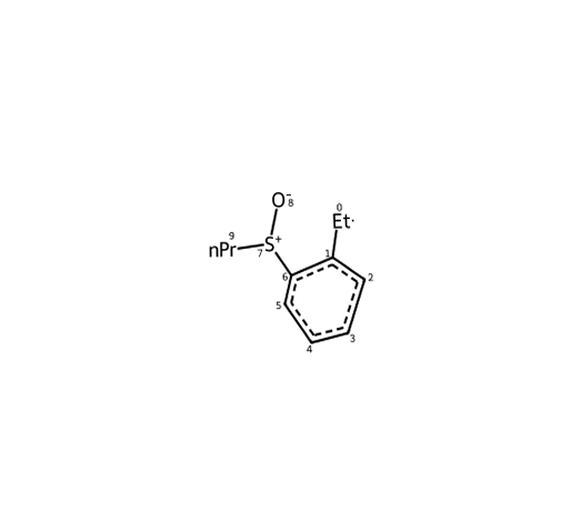 C[CH]c1ccccc1[S+]([O-])CCC